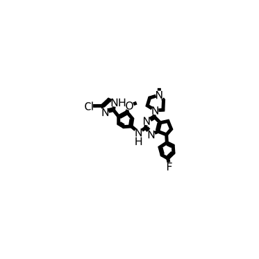 COc1cc(Nc2nc3c(c(N4CCN(C)CC4)n2)CCC3c2ccc(F)cc2)ccc1-c1nc(Cl)c[nH]1